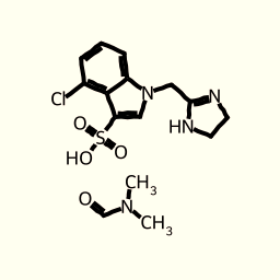 CN(C)C=O.O=S(=O)(O)c1cn(CC2=NCCN2)c2cccc(Cl)c12